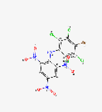 O=[N+]([O-])c1cc([N+](=O)[O-])c(Nc2c(Cl)c(Cl)c(Br)c(Cl)c2Cl)c([N+](=O)[O-])c1